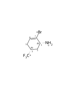 N[C@@H]1C[C@H](C(F)(F)F)CC=C1Br